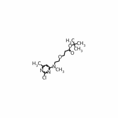 Cc1cc(N(C)CCOCCC(=O)OC(C)(C)C)nc(Cl)n1